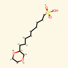 O=S(=O)(O)CCCCCCCCCC1COCCO1